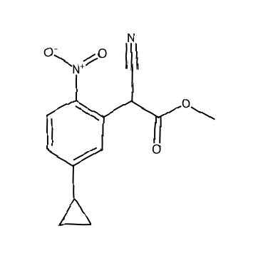 COC(=O)C(C#N)c1cc(C2CC2)ccc1[N+](=O)[O-]